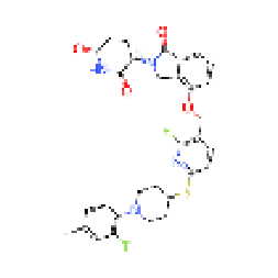 Cc1ccc(N2CCC(Sc3ccc(COc4cccc5c4CN([C@@H]4CCC(=O)NC4=O)C5=O)c(F)n3)CC2)c(F)c1